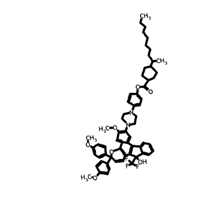 CCCCCCCCC(C)C1CCC(C(=O)Oc2ccc(N3CCN(c4cc5c6c(c7c(c5cc4OC)OC(c4ccc(OC)cc4)(c4ccc(OC)cc4)C=C7)C(O)(C(F)(F)F)c4ccccc4-6)CC3)cc2)CC1